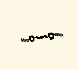 CCCCCC[C@H]1CC[C@H](/C=C/C#C/C=C/[C@H]2CC[C@H](OC)CC2)CC1